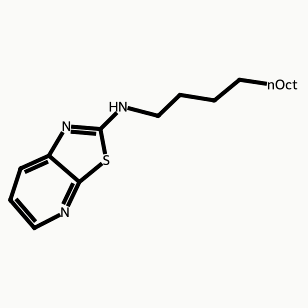 CCCCCCCCCCCCNc1nc2cccnc2s1